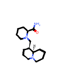 NC(=O)C1C[CH]CCN1C[C@@H]1CCCN2CCCC[C@H]12